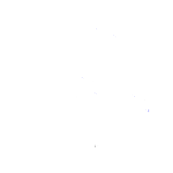 C#CCOc1ccc2c(c1)c(-c1ccc(C(C)C)cc1)nc(=S)n2Cc1ccc2nsnc2c1.S=c1ncc2ccccc2[nH]1